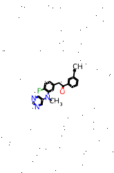 C#Cc1cccc(C(=O)Cc2ccc(F)c(N(C)c3cncnc3)c2)c1